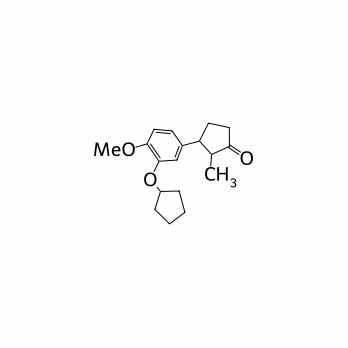 COc1ccc(C2CCC(=O)C2C)cc1OC1CCCC1